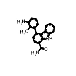 Cc1c(N)cccc1-c1ccc(C(N)=O)c2[nH]c3ccccc3c12